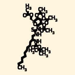 CCCCCCCCCCC(CNC(=S)N[C@@H]1O[C@H](COC(C)=O)[C@@H](OC(C)=O)[C@H](OC(C)=O)[C@H]1OC(C)=O)NC(=O)OC(C)(C)C